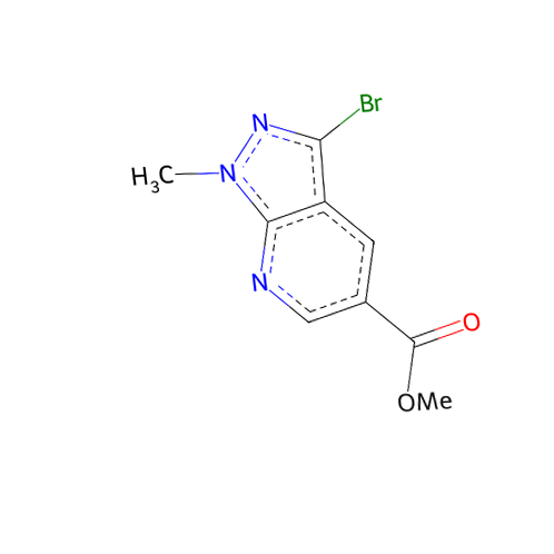 COC(=O)c1cnc2c(c1)c(Br)nn2C